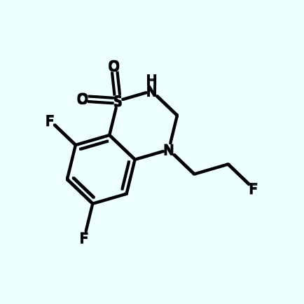 O=S1(=O)NCN(CCF)c2cc(F)cc(F)c21